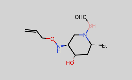 C=CCON[C@H]1CN(BC=O)[C@H](CC)C[C@@H]1O